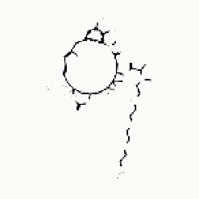 COc1cc2cc(c1Cl)N(C)C(=O)CC(OC(=O)C(C)N(C)CCOCCOCCOCCON)[C@]1(C)O[C@H]1[C@H](C)C1C[C@@](O)(NC(=O)O1)[C@H](OC)/C=C/C=C(\C)C2